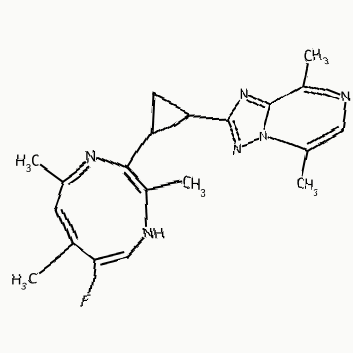 Cc1cc(C)c(F)c[nH]c(C)c(C2CC2c2nc3c(C)ncc(C)n3n2)n1